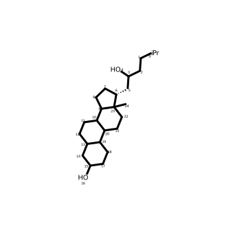 CC(C)CCC(O)C[C@H]1CCC2C3CCC4CC(O)CCC4C3CCC21C